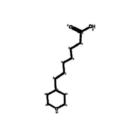 O=C(O)CCCCCCC1CCOCC1